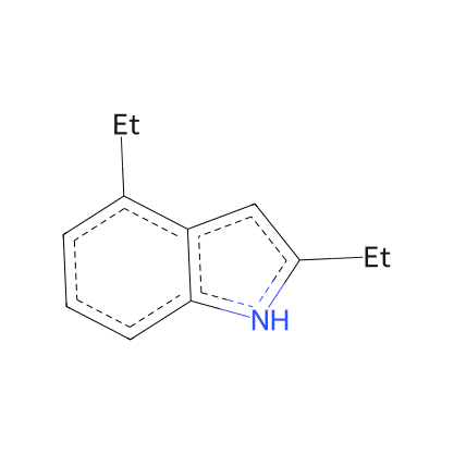 CCc1cc2c(CC)cccc2[nH]1